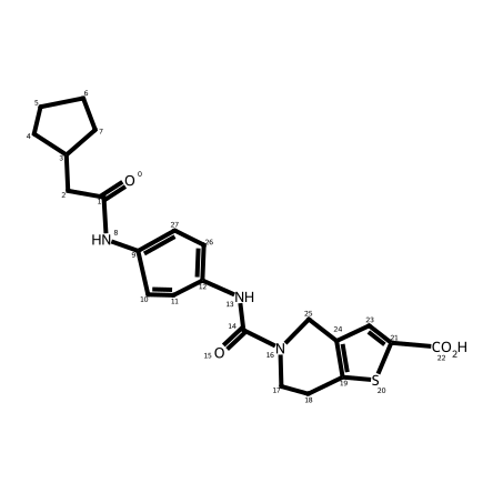 O=C(CC1CCCC1)Nc1ccc(NC(=O)N2CCc3sc(C(=O)O)cc3C2)cc1